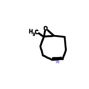 CC12CC/C=C\CCC1O2